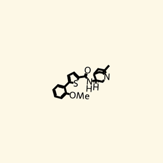 COc1ccccc1-c1ccc(C(=O)N[C@H]2CN3CCC2CC3C)s1